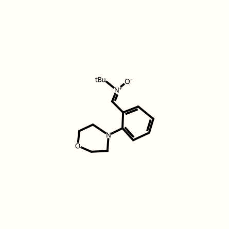 CC(C)(C)/[N+]([O-])=C/c1ccccc1N1CCOCC1